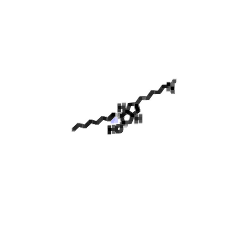 CCCCCC/C=C/[C@@H]1[C@H]2CC(CCCCCN(C)C)=C[C@H]2C[C@H]1O